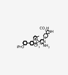 Cc1ccn(-c2cc(-c3cccc(OC(C)C)c3)ccc2[C@@H](Oc2cc(N3CCC4(CC3)CNC(C(=O)O)C4)nc(N)n2)C(F)(F)F)n1